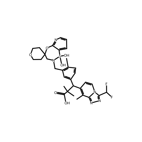 Cc1ccc(C(c2ccn3c(C(F)F)nnc3c2C)C(C)(C)C(=O)O)cc1CN1CC2(CCOCC2)Oc2ncccc2S1(O)O